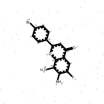 Nc1c(F)cc2c(=O)cc(-c3ccc(Br)cc3)oc2c1N